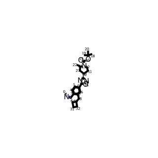 C/N=C\c1ccc(-c2nc([C@H]3CCN(C(=O)OC(C)(C)C)C(C)C3)no2)cc1CC1CCC1